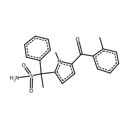 Cc1ccccc1C(=O)c1ccc(C(C)(c2ccccc2)S(N)(=O)=O)n1C